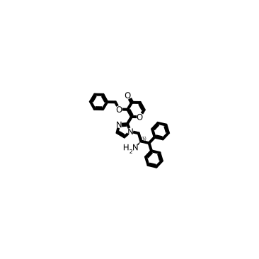 N[C@H](Cn1ccnc1-c1occc(=O)c1OCc1ccccc1)C(c1ccccc1)c1ccccc1